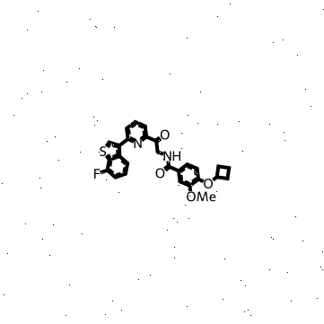 COc1cc(C(=O)NCC(=O)c2cccc(-c3csc4c(F)cccc34)n2)ccc1OC1CCC1